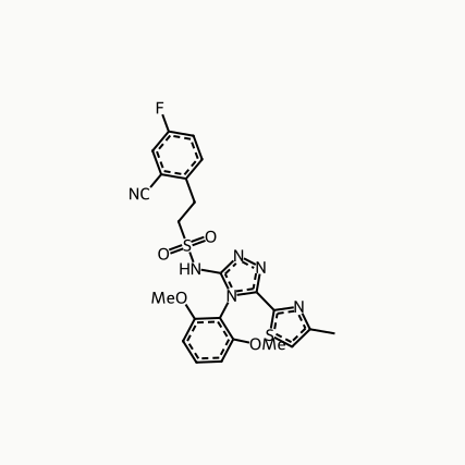 COc1cccc(OC)c1-n1c(NS(=O)(=O)CCc2ccc(F)cc2C#N)nnc1-c1nc(C)cs1